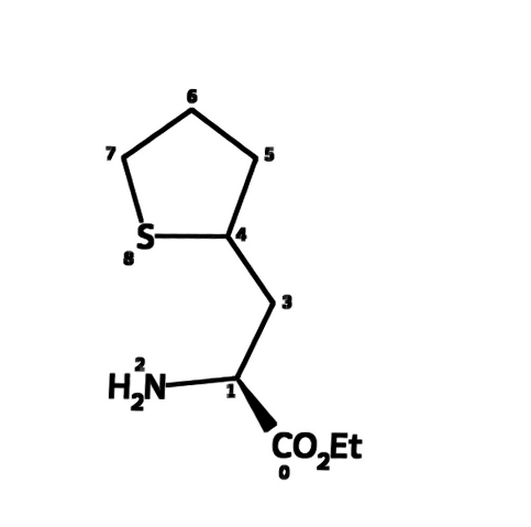 CCOC(=O)[C@@H](N)CC1CCCS1